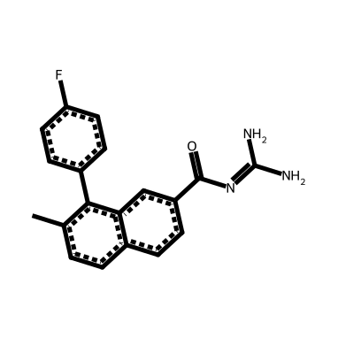 Cc1ccc2ccc(C(=O)N=C(N)N)cc2c1-c1ccc(F)cc1